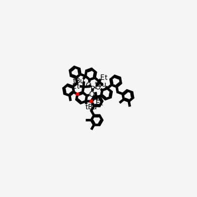 CCC(C)(C)C1=CC=CC(c2ccccc2Cc2cccc(C)c2C)(C(C)(C)C)C1OP(OC1C(C(C)(C)CC)=CC=CC1(c1ccccc1Cc1cccc(C)c1C)C(C)(C)C)OC1C(C(C)(C)CC)=CC=CC1(c1ccccc1Cc1cccc(C)c1C)C(C)(C)C